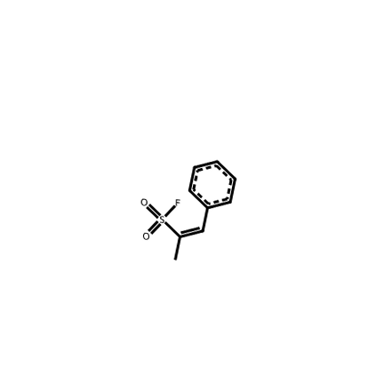 CC(=Cc1ccccc1)S(=O)(=O)F